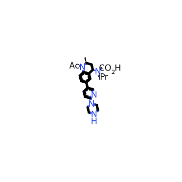 CC(=O)N1c2ccc(-c3ccc(N4CCNCC4)nc3)cc2[C@H](N(C(=O)O)C(C)C)C[C@@H]1C